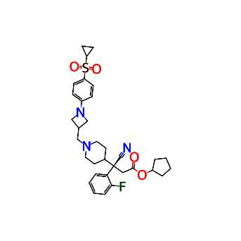 N#C[C@@](CC(=O)OC1CCCC1)(c1ccccc1F)C1CCN(CC2CN(c3ccc(S(=O)(=O)C4CC4)cc3)C2)CC1